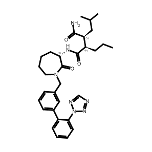 CCC[C@@H](C(=O)N[C@H]1CCCCN(Cc2cccc(-c3ccccc3-n3ncnn3)c2)C1=O)[C@H](CC(C)C)C(N)=O